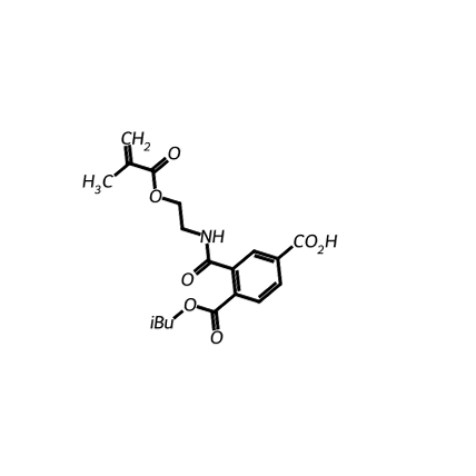 C=C(C)C(=O)OCCNC(=O)c1cc(C(=O)O)ccc1C(=O)OC(C)CC